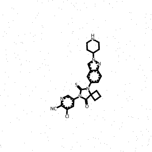 N#Cc1ncc(N2C(=O)C3(CCC3)N(c3ccc4nn(C5CCNCC5)cc4c3)C2=S)cc1Cl